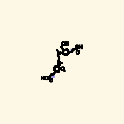 COc1cc(/C=C/C(=O)O)ccc1N(C)CCCN(C)c1ccc(/C=C/C(=O)O)cc1CO